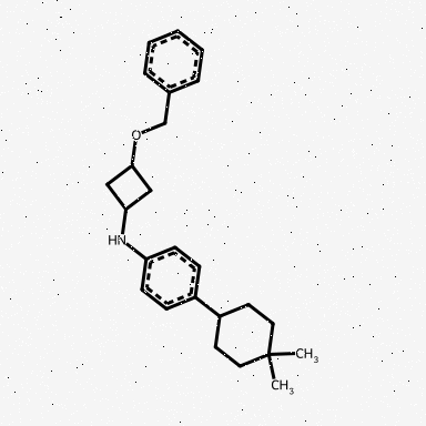 CC1(C)CCC(c2ccc(NC3CC(OCc4ccccc4)C3)cc2)CC1